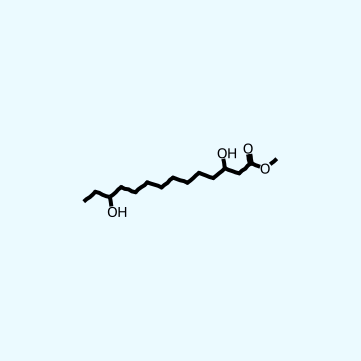 CCC(O)CCCCCCCCC(O)CC(=O)OC